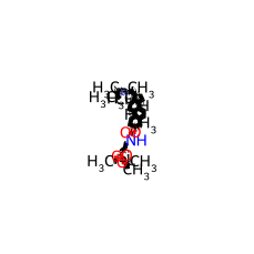 CCO[Si](CCCNC(=O)O[C@H]1CC[C@@]2(C)C(=CC=C3[C@@H]4CC[C@H]([C@H](C)/C=C/[C@@H](C)C(C)C)[C@@]4(C)CC[C@@H]32)C1)(OCC)OCC